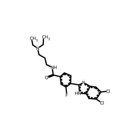 CCN(CC)CCCNC(=O)c1ccc(-c2nc3cc(Cl)c(Cl)cc3[nH]2)c(F)c1